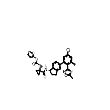 Cc1nc(-c2c(F)cc(Cl)cc2-c2ccc3c(c2)CC[C@@H]3NC(=O)C2(NC(=O)Oc3ccno3)CC2)no1